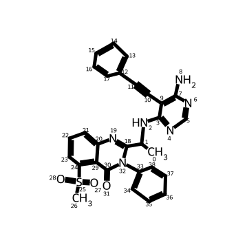 CC(Nc1ncnc(N)c1C#Cc1ccccc1)c1nc2cccc(S(C)(=O)=O)c2c(=O)n1-c1ccccc1